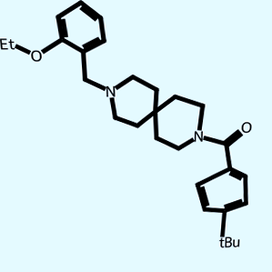 CCOc1ccccc1CN1CCC2(CC1)CCN(C(=O)c1ccc(C(C)(C)C)cc1)CC2